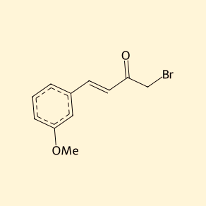 COc1cccc(C=CC(=O)CBr)c1